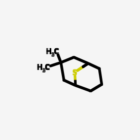 CC1(C)CC2CCCC(C1)S2